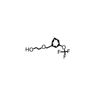 OCCOCc1cccc(OC(F)(F)F)c1